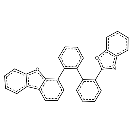 c1ccc(-c2ccccc2-c2cccc3c2oc2ccccc23)c(-c2nc3ccccc3o2)c1